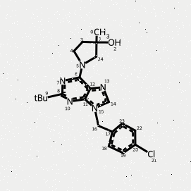 CC1(O)CCN(c2nc(C(C)(C)C)nc3c2ncn3Cc2ccc(Cl)cc2)C1